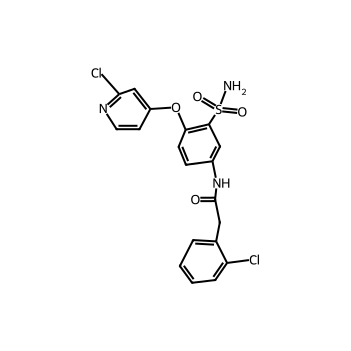 NS(=O)(=O)c1cc(NC(=O)Cc2ccccc2Cl)ccc1Oc1ccnc(Cl)c1